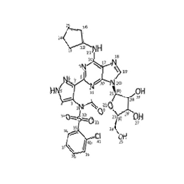 O=CN(c1c[nH]nc1-c1nc(NC2CCCC2)c2ncn([C@@H]3O[C@H](CO)C(O)C3O)c2n1)S(=O)(=O)c1ccccc1Cl